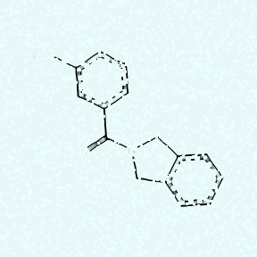 CCCc1cccc(C(=O)N2Cc3ccccc3C2)c1